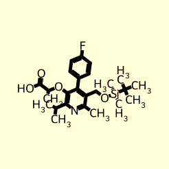 Cc1nc(C(C)C)c(OC(C)C(=O)O)c(-c2ccc(F)cc2)c1CO[Si](C)(C)C(C)(C)C